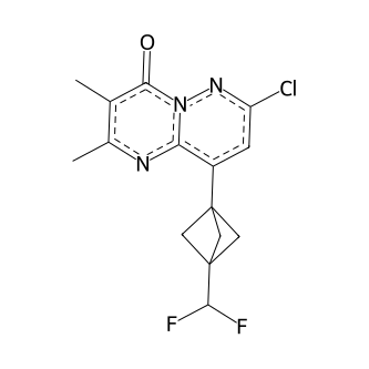 Cc1nc2c(C34CC(C(F)F)(C3)C4)cc(Cl)nn2c(=O)c1C